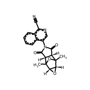 CC12OC(C)([C@@H]3O[C@@H]31)[C@H]1C(=O)N(c3cnc(C#N)c4ccccc34)C(=O)[C@H]12